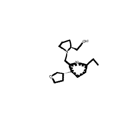 CCc1ccc([C@@H]2CCOC2)c(CN2CCC[C@H]2CO)n1